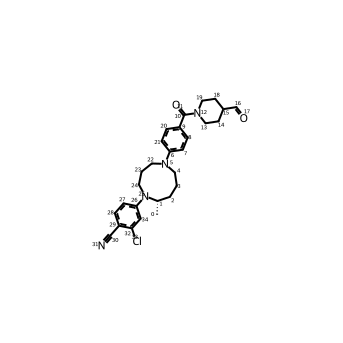 C[C@H]1CCCN(c2ccc(C(=O)N3CCC(C=O)CC3)cc2)CCCN1c1ccc(C#N)c(Cl)c1